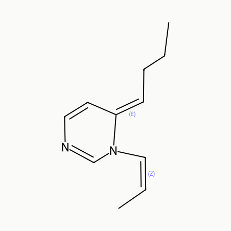 C/C=C\N1C=NC=C/C1=C\CCC